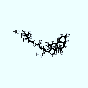 C[C@H](CCC(=O)OCCC(F)(F)C(F)(F)S(=O)(=O)O)[C@H]1CC[C@H]2[C@@H]3C(=O)CC4CC(=O)CC[C@@H]4[C@H]3CC(=O)[C@]12C